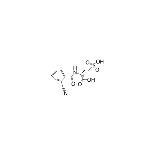 N#Cc1ccccc1C(=O)N[C@@H](CCS(=O)(=O)O)C(=O)O